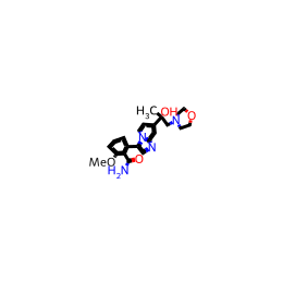 COc1cccc(-c2cnc3cc(C(C)(O)CN4CCOCC4)ccn23)c1C(N)=O